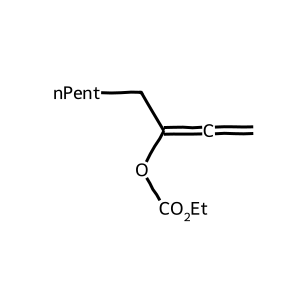 C=C=C(CCCCCC)OC(=O)OCC